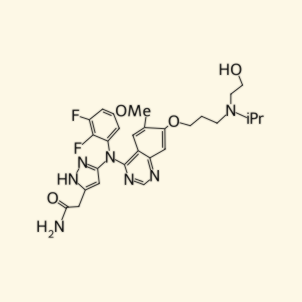 COc1cc2c(N(c3cc(CC(N)=O)[nH]n3)c3cccc(F)c3F)ncnc2cc1OCCCN(CCO)C(C)C